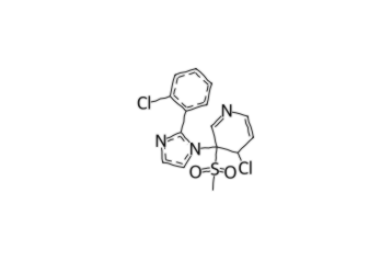 CS(=O)(=O)C1(n2ccnc2-c2ccccc2Cl)C=NC=CC1Cl